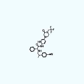 CC(CNC(C(=O)NC1C=CC(N2CCN(CC(F)(F)F)C(=O)C2)=CN1)c1ccccc1)c1ccc(C#N)cc1